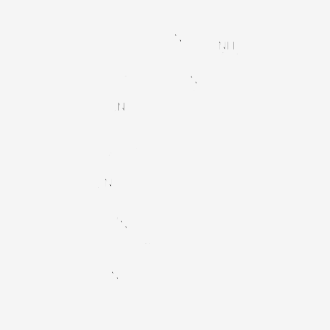 CN1CCN(c2ccc(-c3cc4nc(N)ncc4cn3)cn2)CC1